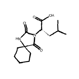 CC(C)C[C@@H](C(=O)O)N1C(=O)NC2(CCCCC2)C1=O